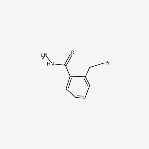 CC(C)Cc1ccccc1C(=O)NN